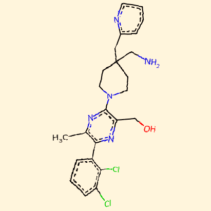 Cc1nc(N2CCC(CN)(Cc3ccccn3)CC2)c(CO)nc1-c1cccc(Cl)c1Cl